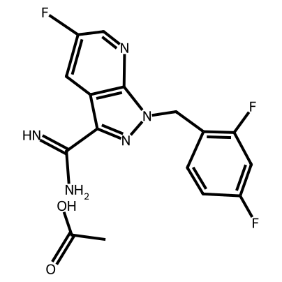 CC(=O)O.N=C(N)c1nn(Cc2ccc(F)cc2F)c2ncc(F)cc12